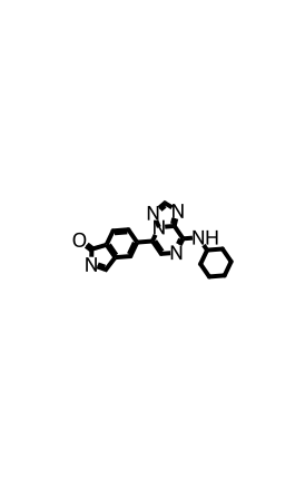 O=C1N=Cc2cc(-c3cnc(NC4CCCCC4)c4ncnn34)ccc21